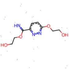 N=C(OCCO)c1ccc(OCCO)nn1